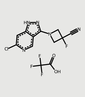 N#CC1(F)CN(c2n[nH]c3cc(Cl)ncc23)C1.O=C(O)C(F)(F)F